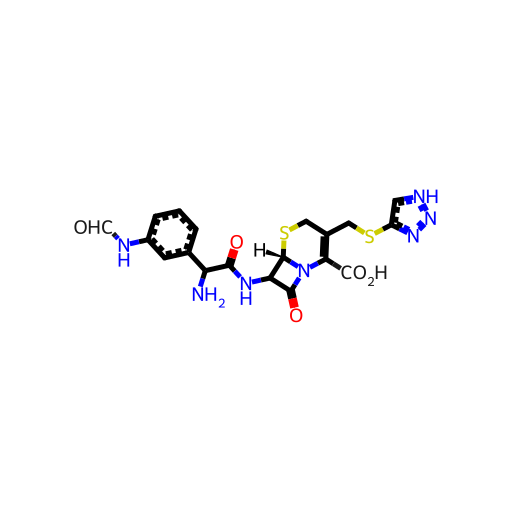 NC(C(=O)NC1C(=O)N2C(C(=O)O)=C(CSc3c[nH]nn3)CS[C@@H]12)c1cccc(NC=O)c1